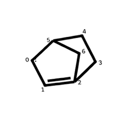 [C]1C=C2CCC1C2